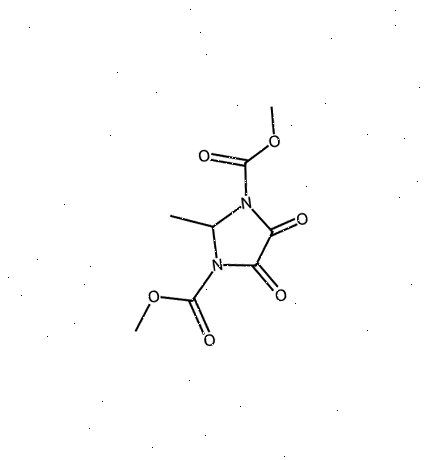 COC(=O)N1C(=O)C(=O)N(C(=O)OC)C1C